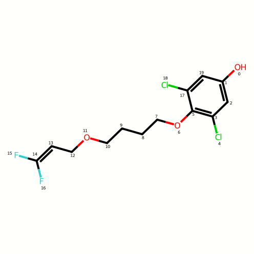 Oc1cc(Cl)c(OCCCCOCC=C(F)F)c(Cl)c1